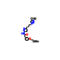 COCCOc1cccc(CC(=O)Nc2ccc(CCCCn3cc(C=O)nn3)nn2)c1